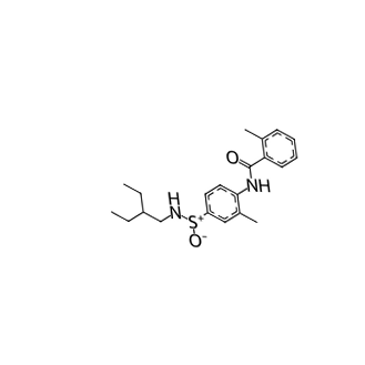 CCC(CC)CN[S+]([O-])c1ccc(NC(=O)c2ccccc2C)c(C)c1